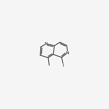 Cc1ccnc2ccnc(I)c12